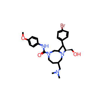 COc1ccc(NC(=O)N2CCC(CN(C)C)CN3C(C2)C(c2ccc(Br)cc2)[C@H]3CO)cc1